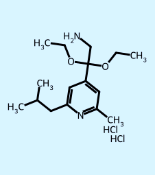 CCOC(CN)(OCC)c1cc(C)nc(CC(C)C)c1.Cl.Cl